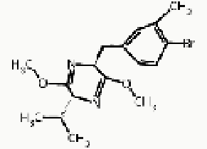 COC1=N[C@H](C(C)C)C(OC)=N[C@H]1Cc1ccc(Br)c(C)c1